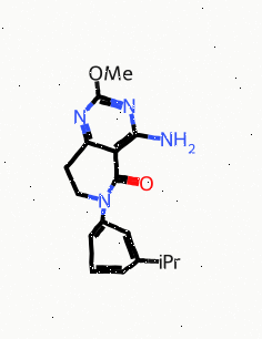 COc1nc(N)c2c(n1)CCN(c1cccc(C(C)C)c1)C2=O